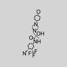 COc1ccc(N2CCN(C[C@](C)(O)C(=O)Nc3ccc(C#N)c(C(F)(F)F)c3)CC2)cc1